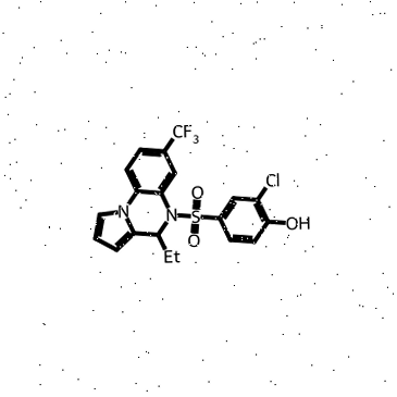 CCC1c2cccn2-c2ccc(C(F)(F)F)cc2N1S(=O)(=O)c1ccc(O)c(Cl)c1